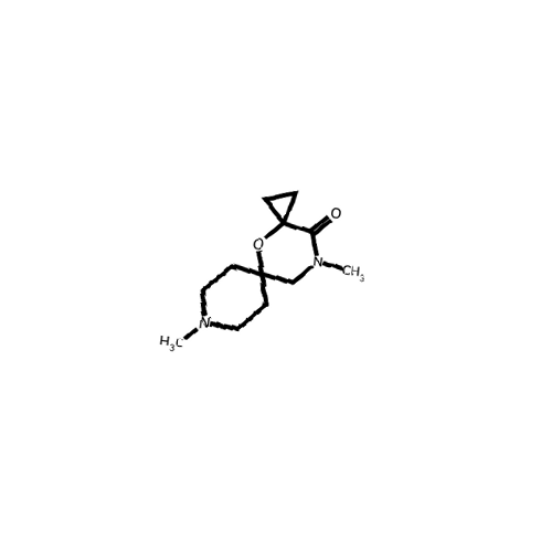 CN1CCC2(CC1)CN(C)C(=O)C1(CC1)O2